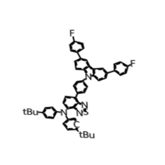 CC(C)(C)c1ccc(N(c2ccc(C(C)(C)C)cc2)c2ccc(-c3ccc(-n4c5ccc(-c6ccc(F)cc6)cc5c5cc(-c6ccc(F)cc6)ccc54)cc3)c3nsnc23)cc1